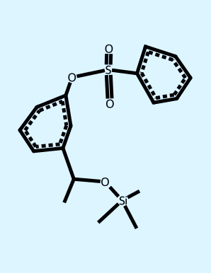 CC(O[Si](C)(C)C)c1cccc(OS(=O)(=O)c2ccccc2)c1